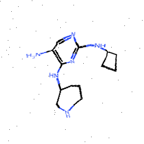 Nc1cnc(NC2CCC2)nc1NC1CCNC1